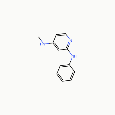 CNc1ccnc(Nc2ccccc2)c1